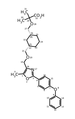 Cc1oc(-c2ccc(Oc3ccccc3)cc2)nc1COC[C@H]1CCC[C@@H](COC(C)(C)C(=O)O)C1